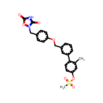 Cc1cc(OS(C)(=O)=O)ccc1-c1cccc(COc2ccc(Cn3oc(=O)[nH]c3=O)cc2)c1